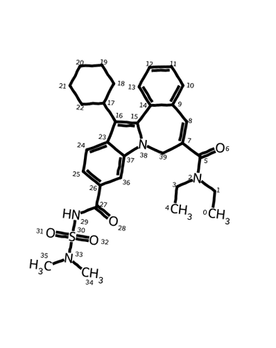 CCN(CC)C(=O)C1=Cc2ccccc2-c2c(C3CCCCC3)c3ccc(C(=O)NS(=O)(=O)N(C)C)cc3n2C1